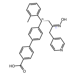 Cc1ccccc1[C@H](C/C(Cc1ccncc1)=N\O)c1ccc(-c2ccc(C(=O)O)cc2)cc1